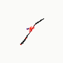 CCCCCCCCCCCCCCCCCCCCCC(=O)O[C@H](COC(=O)CCCCCCCCCCCCCC)COP(=O)([O-])OCC[N+](C)(C)C